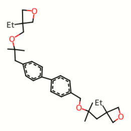 CCC1(COC(C)(C)Cc2ccc(-c3ccc(COC(C)(C)CC4(CC)COC4)cc3)cc2)COC1